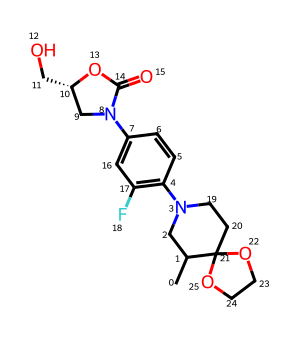 CC1CN(c2ccc(N3C[C@H](CO)OC3=O)cc2F)CCC12OCCO2